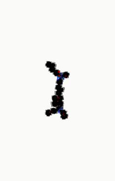 CC1(C)C2=CC(c3ccc(-c4nc(-c5ccccc5)nc(-c5ccc(-c6ccc7c(c6)C(C)(C)c6ccccc6-7)cc5)n4)cc3)CC=C2C2=C1C=C(C1C=CC3=C(C1)C1(c4cc(-c5cc(-c6ccc(-c7ccccc7)cc6)nc(C6=CC7C=CC=CC7C=C6)n5)ccc43)c3ccccc3-c3ccccc31)CC2